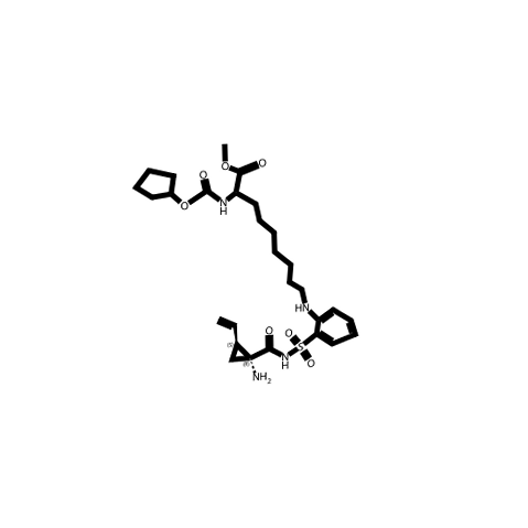 C=C[C@@H]1C[C@]1(N)C(=O)NS(=O)(=O)c1ccccc1NCCCCCCCC(NC(=O)OC1CCCC1)C(=O)OC